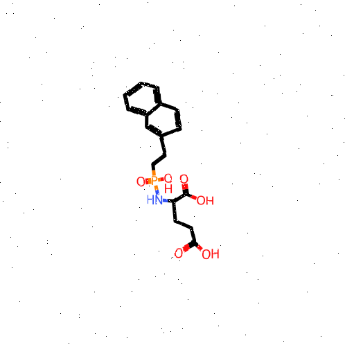 O=C(O)CCC(NP(=O)(O)CCc1ccc2ccccc2c1)C(=O)O